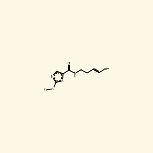 CCC/C=C/CCNC(=O)c1cnc(SCC)s1